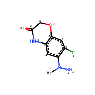 CC(=O)N(N)c1cc2c(cc1Cl)OCC(=O)N2